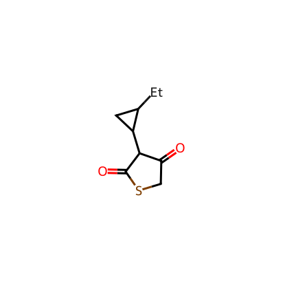 CCC1CC1C1C(=O)CSC1=O